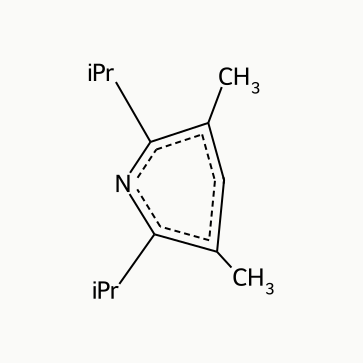 Cc1cc(C)c(C(C)C)nc1C(C)C